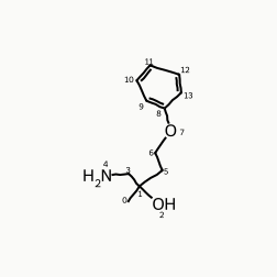 CC(O)(CN)CCOc1ccccc1